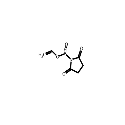 C=CO[PH](=O)N1C(=O)CCC1=O